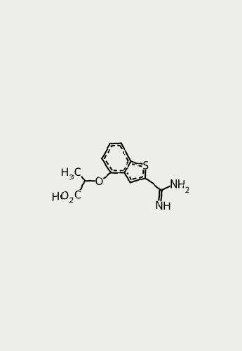 CC(Oc1cccc2sc(C(=N)N)cc12)C(=O)O